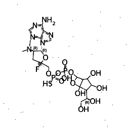 CN(C)[C@@H]1C[C@@](F)(COP(=O)(S)OP(=O)(O)OC2OC3(O)C2C(O)C(O)C3[C@@H](O)CO)O[C@H]1n1cnc2c(N)ncnc21